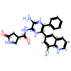 Nc1nc(-c2ccccc2)c(-c2cc(Cl)c3ncccc3c2)nc1NC(=O)C1CNC(=O)C1